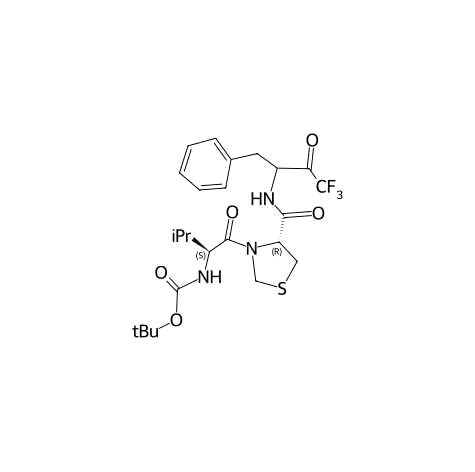 CC(C)[C@H](NC(=O)OC(C)(C)C)C(=O)N1CSC[C@H]1C(=O)NC(Cc1ccccc1)C(=O)C(F)(F)F